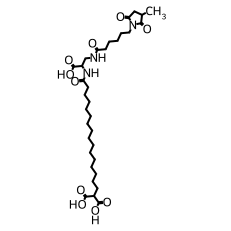 CC1CC(=O)N(CCCCCC(=O)NCC(NC(=O)CCCCCCCCCCCCCCCC(C(=O)O)C(=O)O)C(=O)O)C1=O